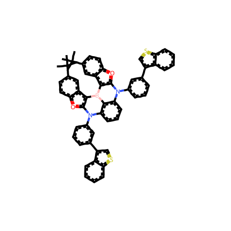 CC(C)(C)c1ccc2oc3c(c2c1)B1c2c(cccc2N(c2cccc(-c4csc5ccccc45)c2)c2oc4ccc(C(C)(C)C)cc4c21)N3c1cccc(-c2csc3ccccc23)c1